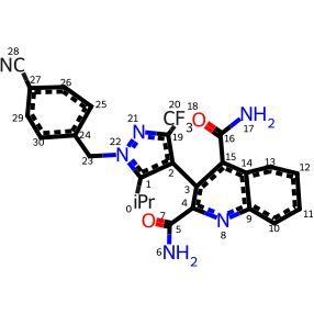 CC(C)c1c(-c2c(C(N)=O)nc3ccccc3c2C(N)=O)c(C(F)(F)F)nn1Cc1ccc(C#N)cc1